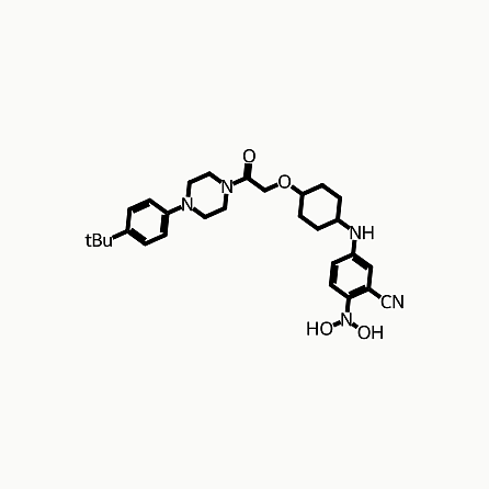 CC(C)(C)c1ccc(N2CCN(C(=O)COC3CCC(Nc4ccc(N(O)O)c(C#N)c4)CC3)CC2)cc1